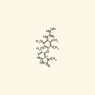 Cc1c(C)c(Oc2ccnc3[nH]c(=O)n(C)c23)c(C)c(C)c1NC(=O)NC(C)C